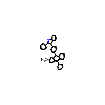 Cc1ccc2c(-c3ccccc3)c3ccccc3c(-c3ccc(C4C(c5ccccc5)=Nc5ccccc54)cc3)c2c1